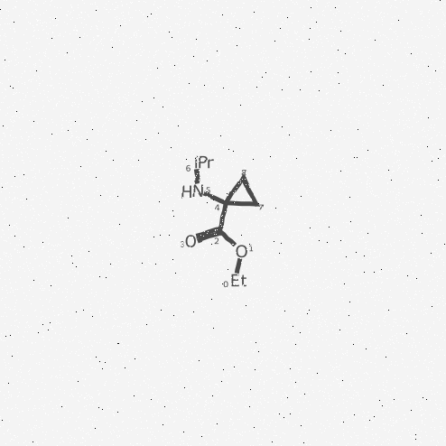 CCOC(=O)C1(NC(C)C)CC1